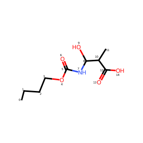 CCCCOC(=O)NC(O)C(C)C(=O)O